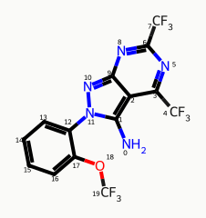 Nc1c2c(C(F)(F)F)nc(C(F)(F)F)nc2nn1-c1ccccc1OC(F)(F)F